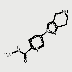 CNC(=O)c1ccc(-n2cc3c(n2)CCNC3)cn1